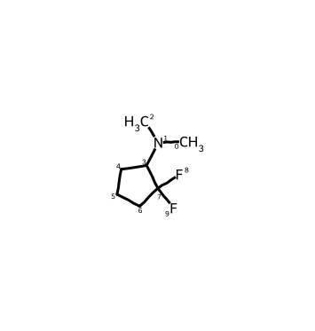 CN(C)C1CCCC1(F)F